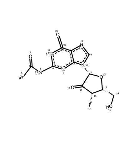 CC(C)C(=O)Nc1nc2c(ncn2[C@@H]2O[C@H](CO)[C@H](F)C2=O)c(=O)[nH]1